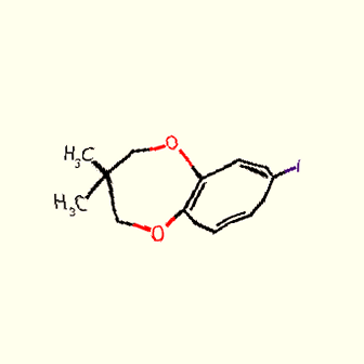 CC1(C)COc2ccc(I)cc2OC1